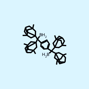 BC(c1ccc(C(B)(C23CC4CC(C)(CC(C)(C4)C2)C3)C23CC4CC(C)(CC(C)(C4)C2)C3)cc1)(C12CC3CC(C)(CC(C)(C3)C1)C2)C12CC3CC(C)(CC(C)(C3)C1)C2